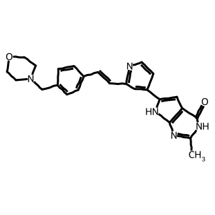 Cc1nc2[nH]c(-c3ccnc(C=Cc4ccc(CN5CCOCC5)cc4)c3)cc2c(=O)[nH]1